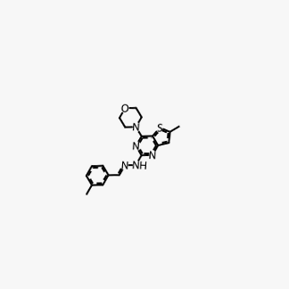 Cc1cccc(/C=N/Nc2nc(N3CCOCC3)c3sc(C)cc3n2)c1